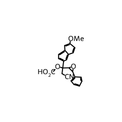 COc1ccc2cc(C(CC#N)(OC(=O)O)C3OC3c3ccccc3)ccc2c1